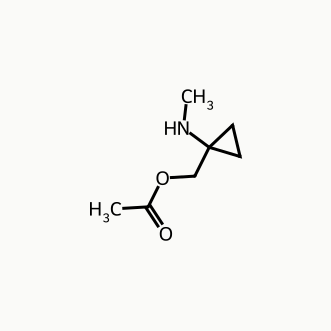 CNC1(COC(C)=O)CC1